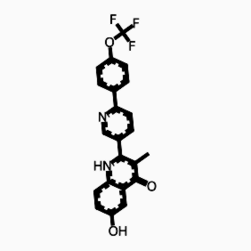 Cc1c(-c2ccc(-c3ccc(OC(F)(F)F)cc3)nc2)[nH]c2ccc(O)cc2c1=O